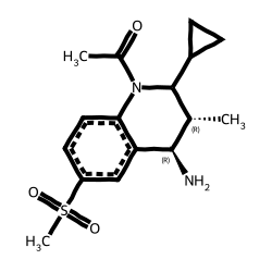 CC(=O)N1c2ccc(S(C)(=O)=O)cc2[C@H](N)[C@@H](C)C1C1CC1